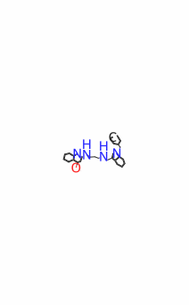 COc1cc(NCCCNCc2cn(Cc3ccccc3)c3ccccc23)nc2ccccc12